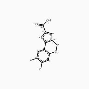 Cc1cc2c(cc1C)-c1sc(C(=O)O)cc1CO2